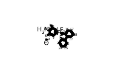 C=O.Cc1cccc(C)c1N.FC(F)(F)c1ccccc1-c1ccccc1